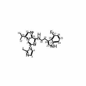 Cc1nccn1-c1cn2c(C(C)C)cnc2c(NCCc2c[nH]c3cccc(F)c23)n1